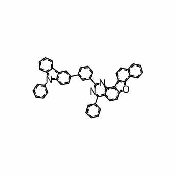 c1ccc(-c2nc(-c3cccc(-c4ccc5c(c4)c4ccccc4n5-c4ccccc4)c3)nc3c2ccc2oc4c5ccccc5ccc4c23)cc1